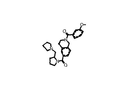 COc1cccc(C(=O)N2CCc3cc(C(=O)N4CCCC4CN4CCCC4)ccc3C2)c1